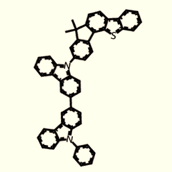 CC1(C)c2cc(-n3c4ccccc4c4cc(-c5ccc6c(c5)c5ccccc5n6-c5ccccc5)ccc43)ccc2-c2c1ccc1c2sc2ccccc21